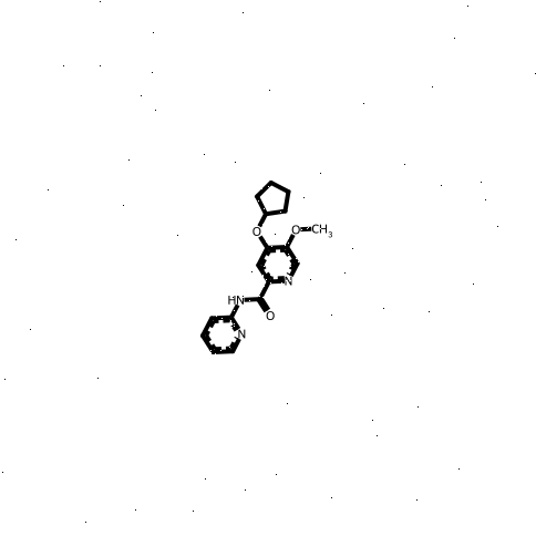 COc1cnc(C(=O)Nc2ccccn2)cc1OC1CCCC1